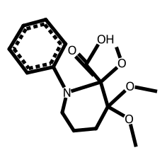 COC1(OC)CCCN(c2ccccc2)C1(OC)C(=O)O